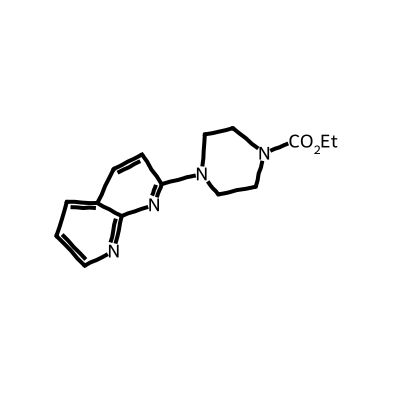 CCOC(=O)N1CCN(c2ccc3cccnc3n2)CC1